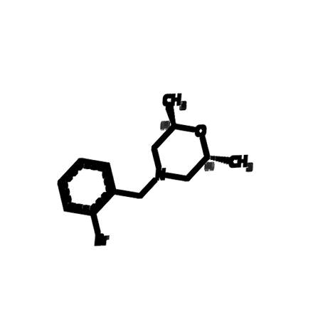 C[C@@H]1CN(Cc2ccccc2Br)C[C@@H](C)O1